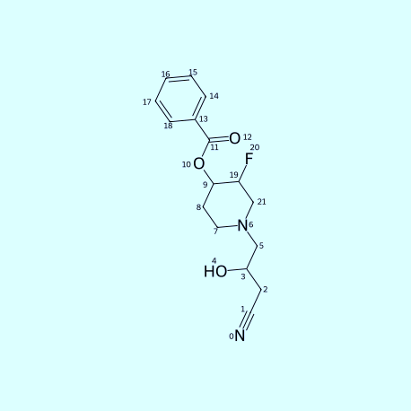 N#CCC(O)CN1CCC(OC(=O)c2ccccc2)C(F)C1